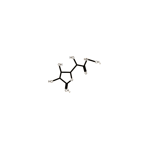 C=C1OC(C(O)C(=O)NC)C(O)C1O